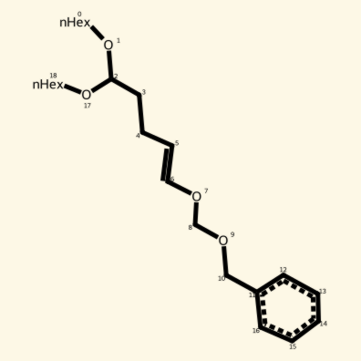 CCCCCCOC(CCC=COCOCc1ccccc1)OCCCCCC